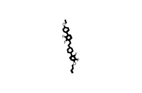 C=CCCOc1ccc(C2CCC(CCc3ccc(C4=CCC(OCC)CC4)c(F)c3F)CC2)c(F)c1F